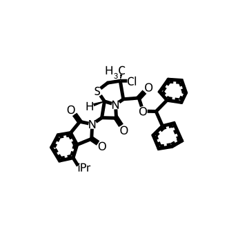 CC(C)c1cccc2c1C(=O)N(C1C(=O)N3C(C(=O)OC(c4ccccc4)c4ccccc4)[C@](C)(Cl)CS[C@@H]13)C2=O